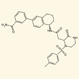 Cc1ccc(S(=O)(=O)N2CCNC(=O)C2CC(=O)N[C@@H]2CCCc3cc(-c4cccc(C(N)=O)c4)ccc32)cc1